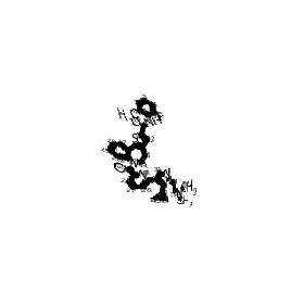 Cc1cccc(F)c1NC(=O)c1cc2c(s1)-c1ccccc1N(C(=O)c1cccc(-c3cnn(CCN(C)C)c3C3CC3)n1)CC2